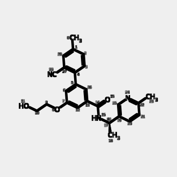 Cc1ccc(-c2cc(OCCO)cc(C(=O)N[C@H](C)c3ccc(C)nc3)c2)c(C#N)c1